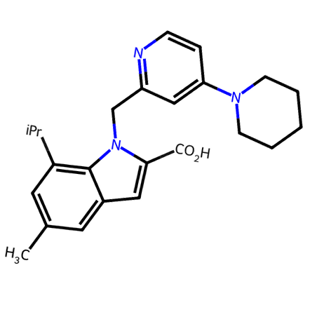 Cc1cc(C(C)C)c2c(c1)cc(C(=O)O)n2Cc1cc(N2CCCCC2)ccn1